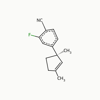 CC1=C[C@](C)(c2ccc(C#N)c(F)c2)CC1